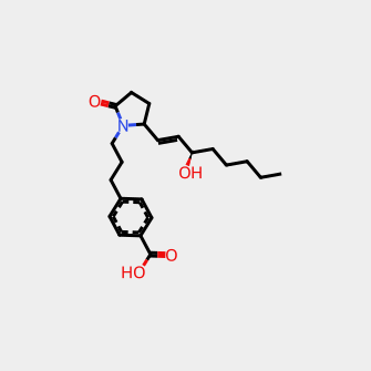 CCCCC[C@@H](O)/C=C/C1CCC(=O)N1CCCc1ccc(C(=O)O)cc1